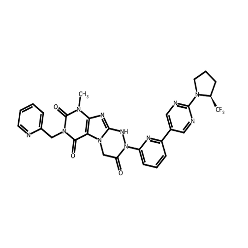 Cn1c(=O)n(Cc2ccccn2)c(=O)c2c1nc1n2CC(=O)N(c2cccc(-c3cnc(N4CCC[C@H]4C(F)(F)F)nc3)n2)N1